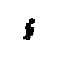 CC1(C)C[C@H](CNc2ccc(Cl)c(-c3cc(NC(=O)[C@H]4CNCCO4)ncc3Cl)c2)CCO1